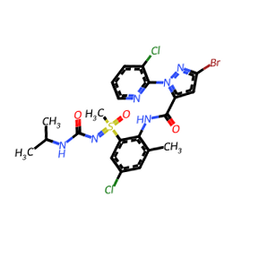 Cc1cc(Cl)cc(S(C)(=O)=NC(=O)NC(C)C)c1NC(=O)c1cc(Br)nn1-c1ncccc1Cl